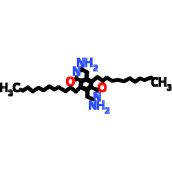 CCCCCCCCCCCCc1c2c(c(CCCCCCCCCCCC)c3c1=CC(N)=NC3=O)=CC(N)=NC2=O